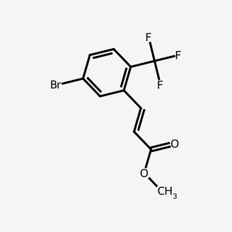 COC(=O)C=Cc1cc(Br)ccc1C(F)(F)F